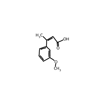 COc1cccc(/C(C)=C\C(=O)O)c1